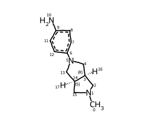 CN1C[C@@H]2CN(c3ccc(N)cc3)C[C@@H]2C1